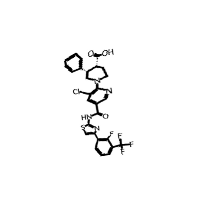 O=C(Nc1nc(-c2cccc(C(F)(F)F)c2F)cs1)c1cnc(N2CC[C@@H](C(=O)O)[C@@H](c3ccccc3)C2)c(Cl)c1